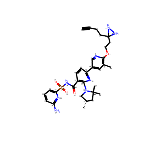 C#CCCC1(CCOc2ncc(-c3ccc(C(=O)NS(=O)(=O)c4cccc(N)n4)c(N4C[C@@H](C)CC4(C)C)n3)cc2C)NN1